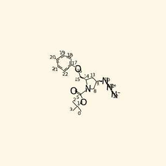 CC(C)(C)OC(=O)N1C[C@H](N=[N+]=[N-])C[C@@H]1COc1ccccc1